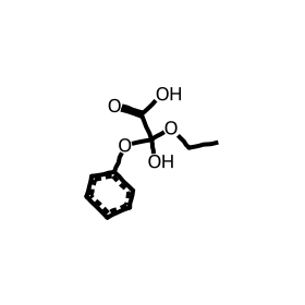 CCOC(O)(Oc1ccccc1)C(=O)O